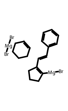 [Br][Mg][Br].[Br][Mg][C]1=C(C=Cc2ccccc2)CCC1.[C]1=CCCCC1